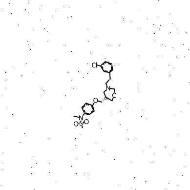 CN(c1ccc(OC[C@H]2CCCN(CCc3cccc(Cl)c3)C2)cc1)S(C)(=O)=O